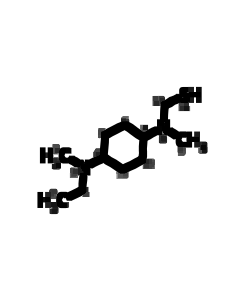 CCN(C)C1CCC(N(C)CS)CC1